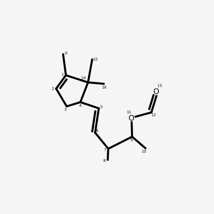 CC1=CCC(C=CC(C)C(C)OC=O)C1(C)C